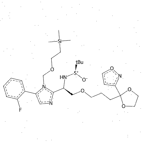 CC(C)(C)[S@@+]([O-])N[C@@H](COCCCC1(c2ccon2)OCCO1)c1ncc(-c2ccccc2F)n1COCC[Si](C)(C)C